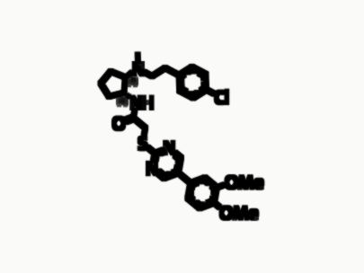 COc1ccc(-c2cnc(SCC(=O)N[C@@H]3CCC[C@H]3N(C)CCc3ccc(Cl)cc3)nc2)cc1OC